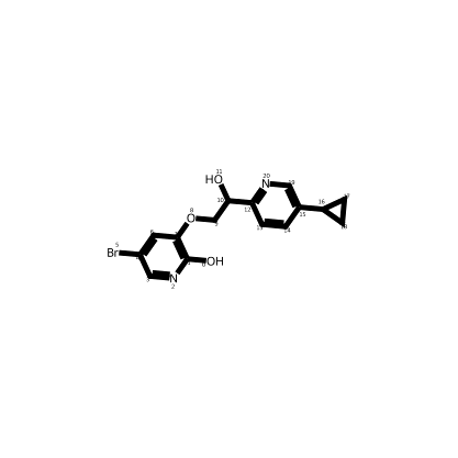 Oc1ncc(Br)cc1OCC(O)c1ccc(C2CC2)cn1